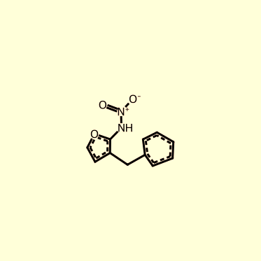 O=[N+]([O-])Nc1occc1Cc1ccccc1